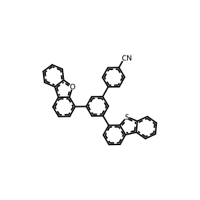 N#Cc1ccc(-c2cc(-c3cccc4c3oc3ccccc34)cc(-c3cccc4c3sc3ccccc34)c2)cc1